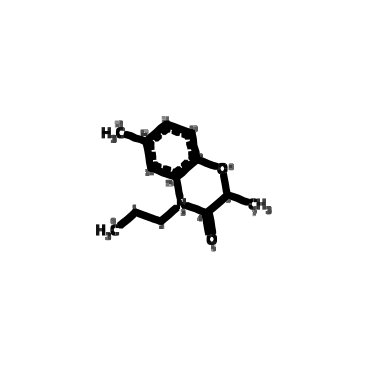 CCCN1C(=O)C(C)Oc2ccc(C)cc21